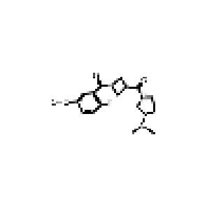 CN(C)[C@@H]1CCN(C(=O)C2CN(C(=O)c3cc(C=O)ccc3F)C2)C1